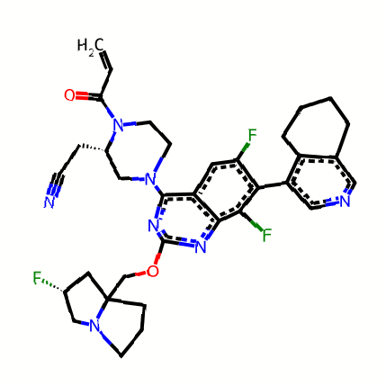 C=CC(=O)N1CCN(c2nc(OCC34CCCN3C[C@H](F)C4)nc3c(F)c(-c4cncc5c4CCCC5)c(F)cc23)C[C@@H]1CC#N